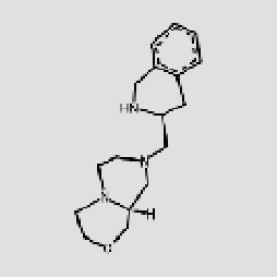 c1ccc2c(c1)CN[C@H](CN1CCN3CCOC[C@H]3C1)C2